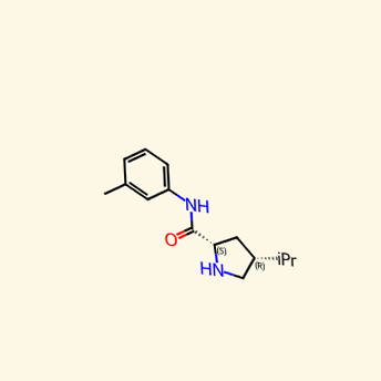 Cc1cccc(NC(=O)[C@@H]2C[C@H](C(C)C)CN2)c1